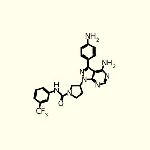 Nc1ccc(-c2nn(C3CCN(C(=O)Nc4cccc(C(F)(F)F)c4)C3)c3ncnc(N)c23)cc1